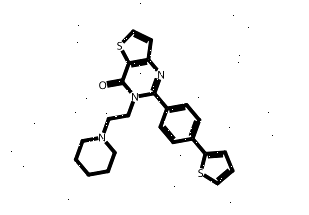 O=c1c2sccc2nc(-c2ccc(-c3cccs3)cc2)n1CCN1CCCCC1